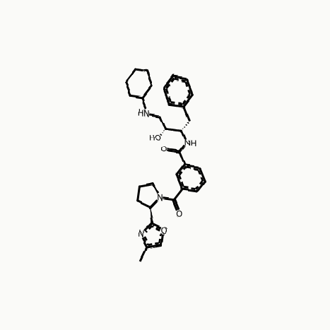 Cc1coc([C@H]2CCCN2C(=O)c2cccc(C(=O)N[C@@H](Cc3ccccc3)[C@H](O)CNC3CCCCC3)c2)n1